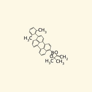 C=C1OB(c2ccc3c4ccc(-c5c(C)cccc5C)c5cccc(c6cccc2c63)c54)OC1(C)C